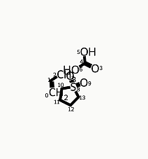 C=CC.O=C(O)O.O=S1(=O)CCCC1